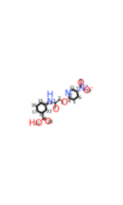 O=C(COc1ccc([N+](=O)[O-])cn1)Nc1cccc(C(=O)O)c1